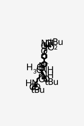 C[n+]1cc(-c2ccc(OC[C@H](ON)C(=O)OC(C)(C)C)cc2)ccc1NC(=O)[C@H](CCCCNC(=O)OC(C)(C)C)NC(=O)OC(C)(C)C